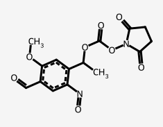 COc1cc(C(C)OC(=O)ON2C(=O)CCC2=O)c(N=O)cc1C=O